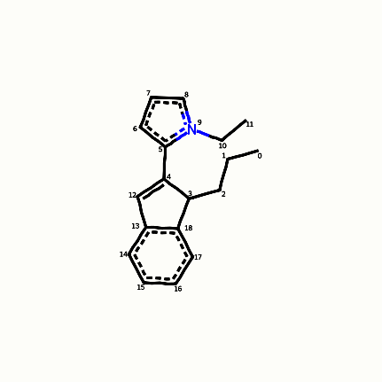 CCC[C]1C(c2cccn2CC)=Cc2ccccc21